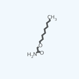 CCCCCCCCCOCC(N)=O